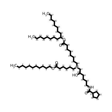 CCCCCCCCCCCOC(=O)CCCCCN(CCCCCCCC(=O)OC(CCCCCCCC)CCCCCCCC)CC(O)CCCCNC(=O)C1CCCC1